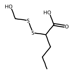 CCCC(SSCO)C(=O)O